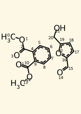 COC(=O)c1ccccc1C(=O)OC.O=Cc1ccc(CO)o1